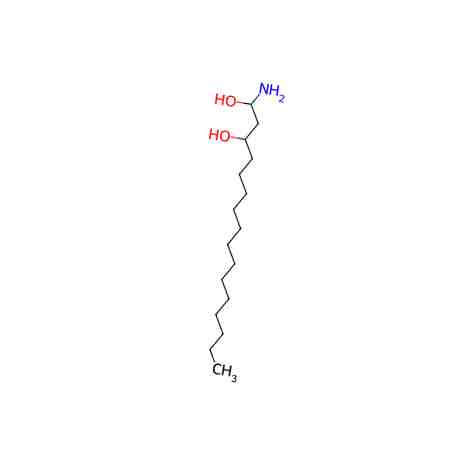 CCCCCCCCCCCCCC(O)CC(N)O